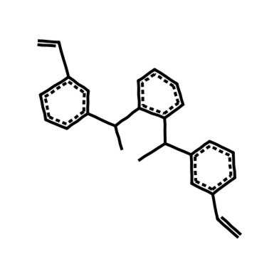 C=Cc1cccc(C(C)c2ccccc2C(C)c2cccc(C=C)c2)c1